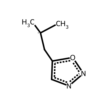 C[C](C)Cc1cnno1